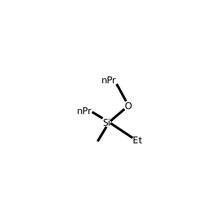 CCCO[Si](C)(CC)CCC